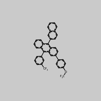 FC(F)(F)Oc1ccc(-c2ccc3c(-c4ccc5ccccc5c4)c4ccccc4c(-c4cccc(C(F)(F)F)c4)c3c2)cc1